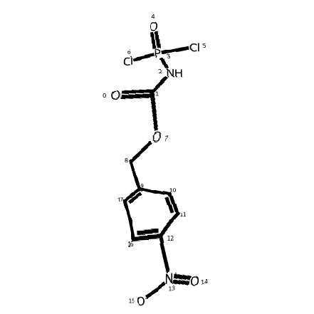 O=C(NP(=O)(Cl)Cl)OCc1ccc([N+](=O)[O-])cc1